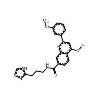 CCOc1cc(-c2cccc(OC(F)(F)F)c2)nc2cc(C(=O)NCCCc3nnc[nH]3)ccc12